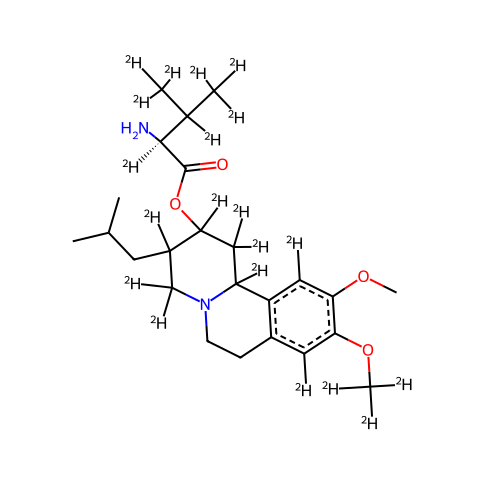 [2H]c1c2c(c([2H])c(OC)c1OC([2H])([2H])[2H])C1([2H])N(CC2)C([2H])([2H])C([2H])(CC(C)C)C([2H])(OC(=O)[C@@]([2H])(N)C([2H])(C([2H])([2H])[2H])C([2H])([2H])[2H])C1([2H])[2H]